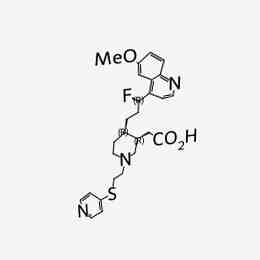 COc1ccc2nccc([C@H](F)CC[C@@H]3CCN(CCSc4ccncc4)C[C@@H]3CC(=O)O)c2c1